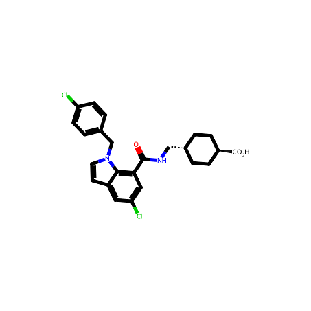 O=C(NC[C@H]1CC[C@H](C(=O)O)CC1)c1cc(Cl)cc2ccn(Cc3ccc(Cl)cc3)c12